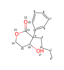 CCCCC1(c2ccccc2)C(=O)OCCC1O